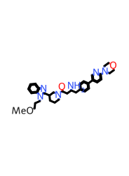 COCCCn1c(C2CCCN(C(=O)CC(N)Cc3ccc(-c4ccc(N5CCOCC5)nc4)cc3)C2)nc2ccccc21